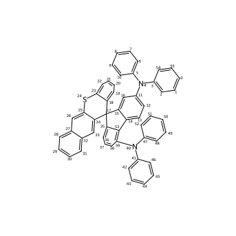 c1ccc(N(c2ccccc2)c2ccc3c(c2)C2(c4ccccc4Sc4cc5ccccc5cc42)c2cccc(N(c4ccccc4)c4ccccc4)c2-3)cc1